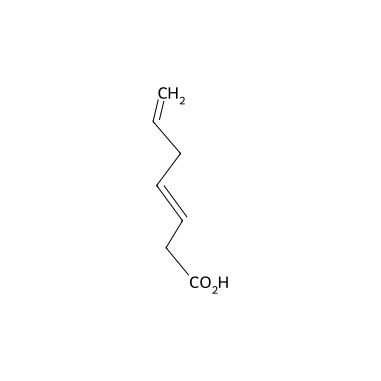 C=CCC=CCC(=O)O